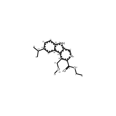 CCOC(=O)c1ncc2[nH]c3ccc(C(C)C)cc3c2c1COC